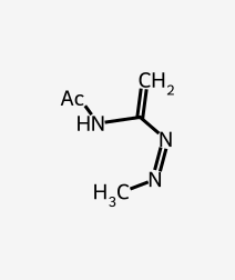 C=C(/N=N\C)NC(C)=O